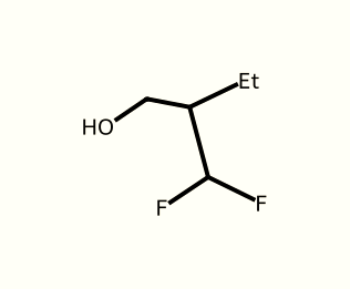 CCC(CO)C(F)F